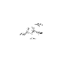 COC[C@H]1O[C@H](OC)C(OC)[C@@H]1OC